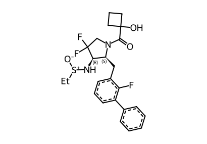 CC[S+]([O-])N[C@@H]1[C@H](Cc2cccc(-c3ccccc3)c2F)N(C(=O)C2(O)CCC2)CC1(F)F